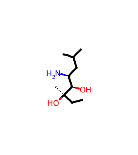 CC[C@@](C)(O)[C@H](O)[C@@H](N)CC(C)C